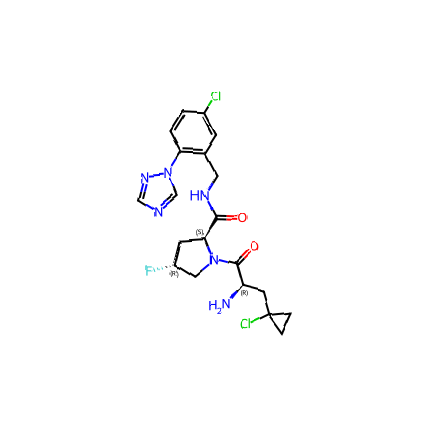 N[C@H](CC1(Cl)CC1)C(=O)N1C[C@H](F)C[C@H]1C(=O)NCc1cc(Cl)ccc1-n1cncn1